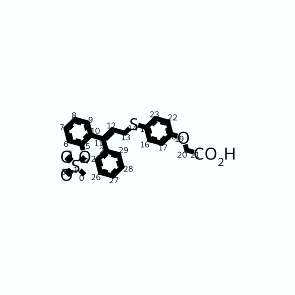 CS(=O)(=O)Oc1ccccc1C(=CCSc1ccc(OCC(=O)O)cc1)c1ccccc1